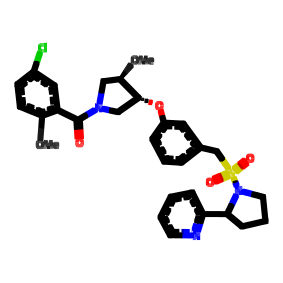 COc1ccc(Cl)cc1C(=O)N1C[C@@H](OC)[C@H](Oc2cccc(CS(=O)(=O)N3CCCC3c3ccccn3)c2)C1